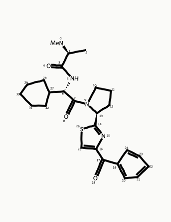 CN[C@@H](C)C(=O)N[C@H](C(=O)N1CCC[C@H]1c1nc(C(=O)c2ccccc2)cs1)C1CCCCC1